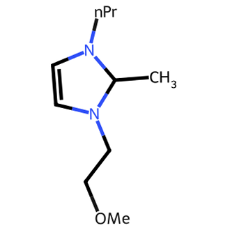 CCCN1C=CN(CCOC)C1C